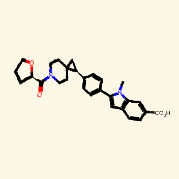 Cn1c(-c2ccc([C@@H]3CC34CCN(C(=O)[C@H]3CCCO3)CC4)cc2)cc2ccc(C(=O)O)cc21